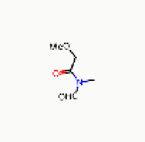 COCC(=O)N(C)C=O